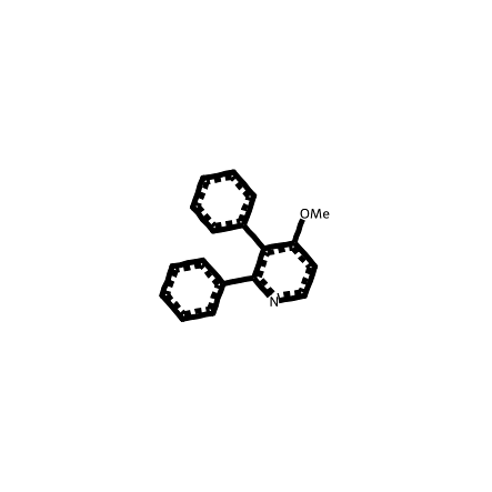 COc1ccnc(-c2ccccc2)c1-c1ccccc1